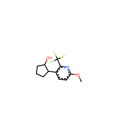 COc1ccc(C2CCCC2O)c(C(F)(F)F)n1